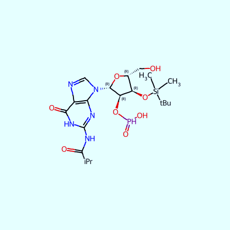 CC(C)C(=O)Nc1nc2c(ncn2[C@@H]2O[C@H](CO)[C@@H](O[Si](C)(C)C(C)(C)C)[C@H]2O[PH](=O)O)c(=O)[nH]1